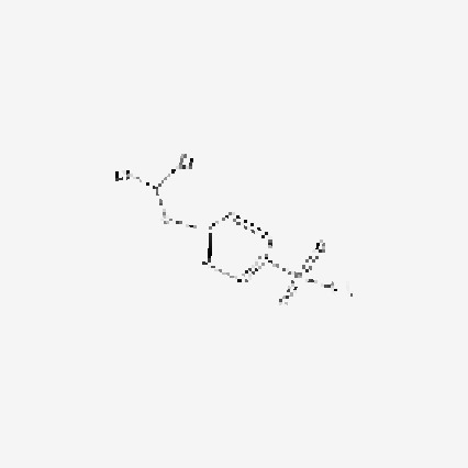 CCC(CC)Oc1ccc(S(N)(=O)=O)cc1